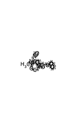 Cn1nc(CCN2CCOCC2)c2c1COCCCCn1c(C=O)c(CCCOc3cccc4ccccc34)c3cccc-2c31